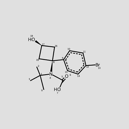 CC(C)(C)N(C(=O)O)[C@]1(c2ccc(Br)cc2)C[C@H](O)C1